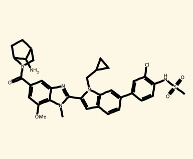 COc1cc(C(=O)N2CC3CCC2C3N)cc2nc(-c3cc4ccc(-c5ccc(NS(C)(=O)=O)c(Cl)c5)cc4n3CC3CC3)n(C)c12